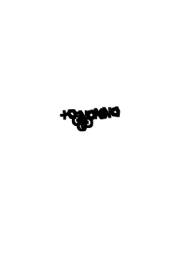 COC(=O)C(=O)N(Cc1ccc(C(C)(C)C)cc1)c1ccc(N2CCN(c3ccccc3)CC2)cc1